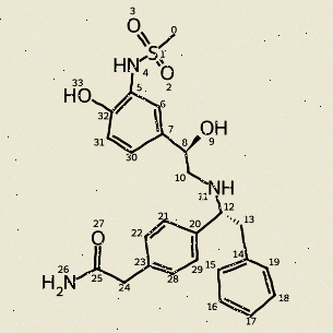 CS(=O)(=O)Nc1cc([C@@H](O)CN[C@H](Cc2ccccc2)c2ccc(CC(N)=O)cc2)ccc1O